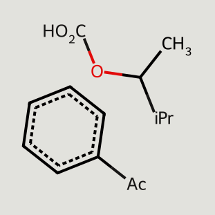 CC(=O)c1ccccc1.CC(C)C(C)OC(=O)O